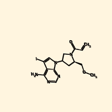 C=CC(=O)N1CC(n2cc(I)c3c(N)ncnc32)C[C@@H]1COC